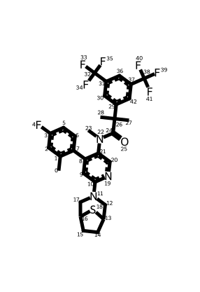 Cc1cc(F)ccc1-c1cc(N2CC3CCC(C2)S3)ncc1N(C)C(=O)C(C)(C)c1cc(C(F)(F)F)cc(C(F)(F)F)c1